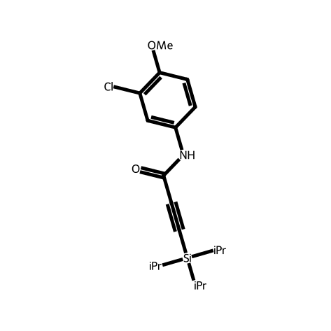 COc1ccc(NC(=O)C#C[Si](C(C)C)(C(C)C)C(C)C)cc1Cl